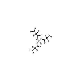 O=P(OC(F)C(F)(F)C(F)F)(OC(F)C(F)(F)C(F)F)OC(F)C(F)(F)C(F)F